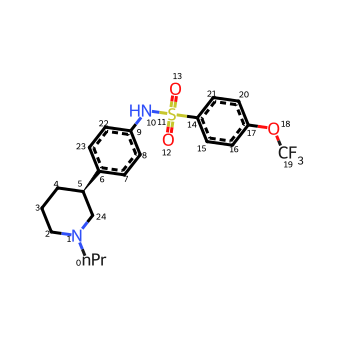 CCCN1CCC[C@@H](c2ccc(NS(=O)(=O)c3ccc(OC(F)(F)F)cc3)cc2)C1